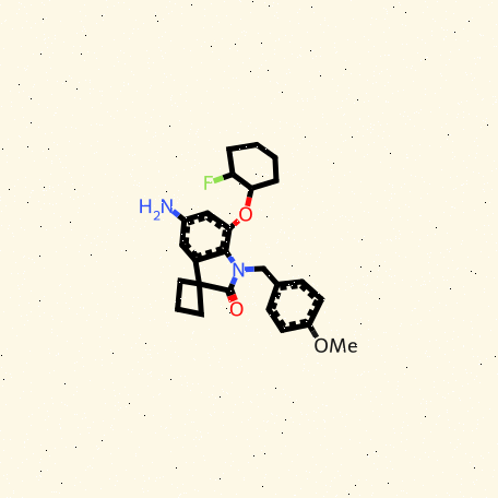 COc1ccc(CN2C(=O)C3(CCC3)c3cc(N)cc(OC4CCCCC4F)c32)cc1